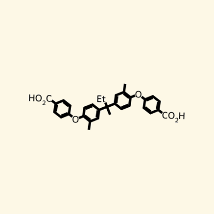 CCC(C)(c1ccc(Oc2ccc(C(=O)O)cc2)c(C)c1)c1ccc(Oc2ccc(C(=O)O)cc2)c(C)c1